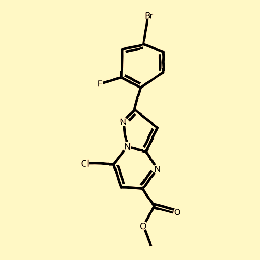 COC(=O)c1cc(Cl)n2nc(-c3ccc(Br)cc3F)cc2n1